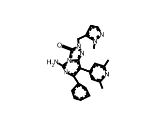 Cc1cc(-c2c(-c3ccccc3)nc(N)n3c(=O)n(Cc4ccnn4C)nc23)cc(C)n1